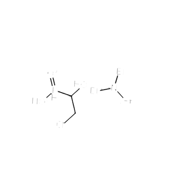 CCN(CC)CC.O=[PH](O)C(O)CCl